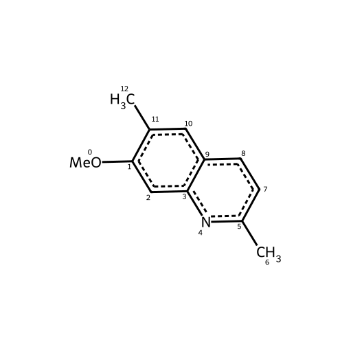 COc1cc2nc(C)ccc2cc1C